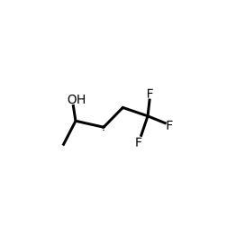 CC(O)[CH]CC(F)(F)F